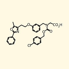 Cc1oc(-c2ccccc2)nc1CCOc1cccc(CN(CC(=O)O)C(=O)OCc2ccc(Cl)cc2)c1